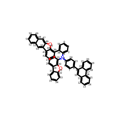 c1ccc(N(c2ccc(-c3cc4ccccc4c4ccccc34)cc2)c2cccc3c2oc2ccccc23)c(-c2cccc3c2oc2cc4ccccc4cc23)c1